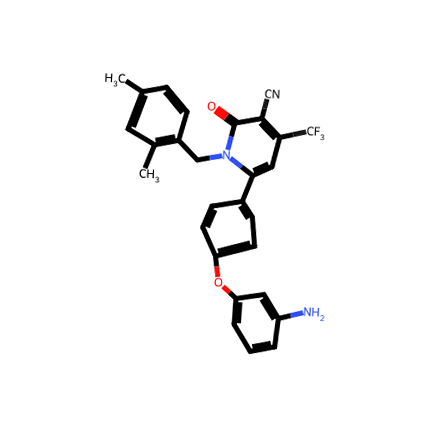 Cc1ccc(Cn2c(-c3ccc(Oc4cccc(N)c4)cc3)cc(C(F)(F)F)c(C#N)c2=O)c(C)c1